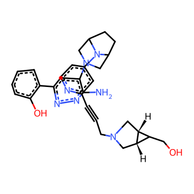 Nc1nnc(-c2ccccc2O)cc1N1CC2CCC(C1)N2c1ccnc(C#CCN2C[C@@H]3C(CO)[C@@H]3C2)c1